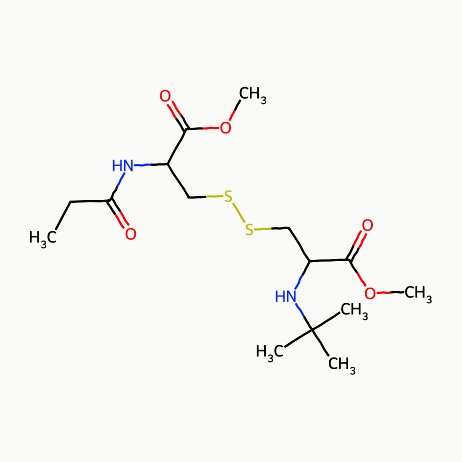 CCC(=O)NC(CSSCC(NC(C)(C)C)C(=O)OC)C(=O)OC